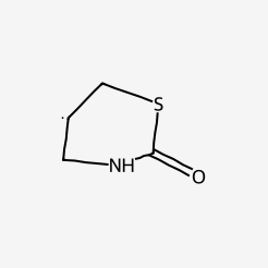 O=C1NC[CH]CS1